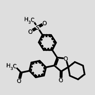 CC(=O)c1ccc(C2=C(c3ccc(S(C)(=O)=O)cc3)OC3(CCCCC3)C2=O)cc1